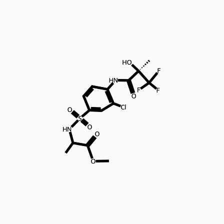 COC(=O)C(C)NS(=O)(=O)c1ccc(NC(=O)[C@@](C)(O)C(F)(F)F)c(Cl)c1